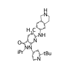 Cc1cc2c(=O)n(C(C)C)n(-c3ccnc(C(C)(C)C)c3)c2nc1Nc1ccc2c(c1)CCNC2